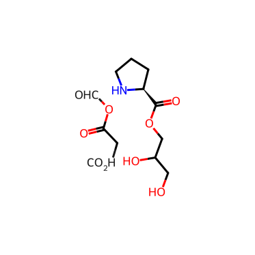 O=C(OCC(O)CO)[C@@H]1CCCN1.O=COC(=O)CC(=O)O